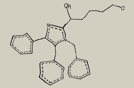 OC(CCCCCl)c1nc(-c2ccccc2)c(-c2ccccc2)n1Cc1ccccc1